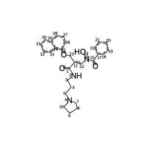 O=C(NCCCN1CCCC1)/C(=C/N(O)C(=O)c1ccccc1)COc1cccc2ccccc12